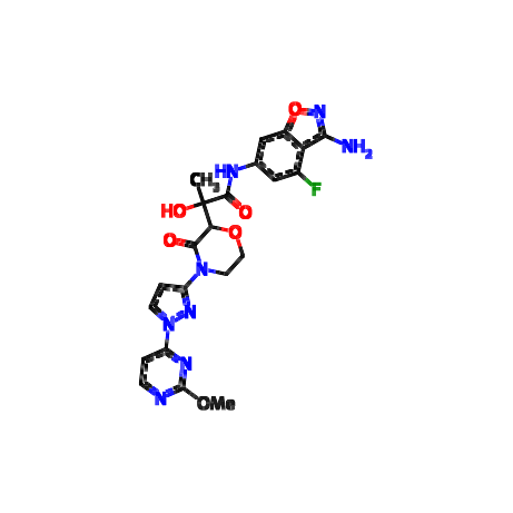 COc1nccc(-n2ccc(N3CCOC(C(C)(O)C(=O)Nc4cc(F)c5c(N)noc5c4)C3=O)n2)n1